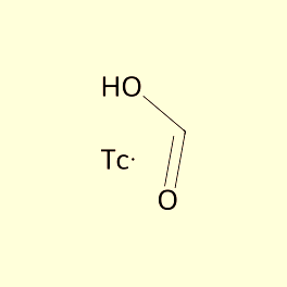 O=CO.[Tc]